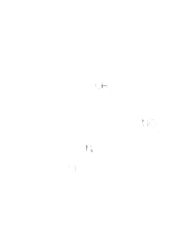 Cc1cn(Cl)cc1[N+](=O)[O-]